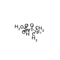 CC(C)(F)C(=O)NS(C)(=O)=O